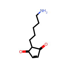 NCCCCCC1C(=O)C=CC1=O